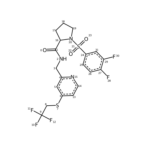 O=C(NCc1cc(SCC(F)(F)F)ccn1)C1CCCN1S(=O)(=O)c1ccc(F)c(F)c1